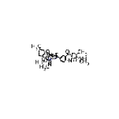 C=N/C(OC)=C(\C=C(/C)c1ccc2ncn(CC(C)C(=O)NC)c(=O)c2c1)NS(=O)(=O)c1cc(C)ccc1C